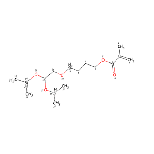 C=C(C)C(=O)OCCC[SiH2]OCC(O[SiH](C)C)O[SiH](C)C